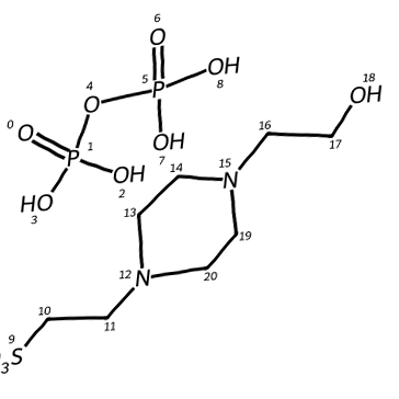 O=P(O)(O)OP(=O)(O)O.O=S(=O)(O)CCN1CCN(CCO)CC1